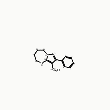 CCOC(=O)c1c(-c2ccccc2)nn2c1OCCCC2